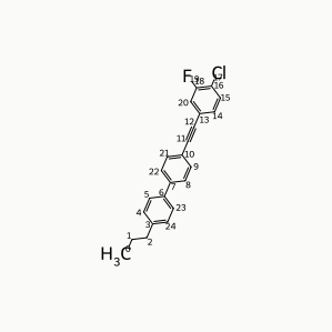 CCCc1ccc(-c2ccc(C#Cc3ccc(Cl)c(F)c3)cc2)cc1